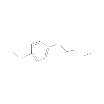 [CH2]COc1ccc(OCCO[N+](=O)[O-])cc1